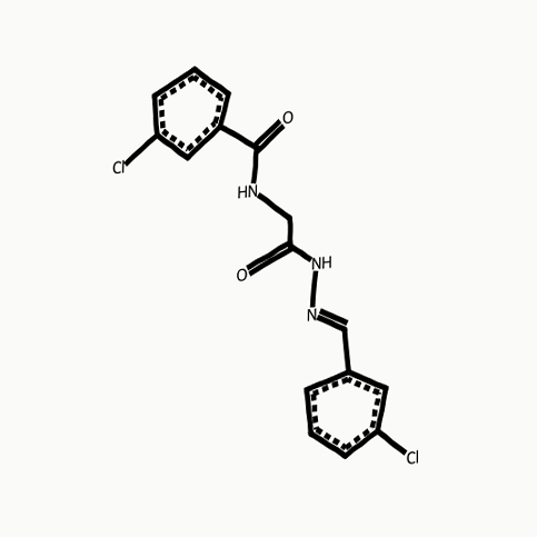 O=C(CNC(=O)c1cccc(Cl)c1)NN=Cc1cccc(Cl)c1